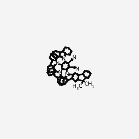 CC1(C)c2ccccc2-c2cc3c(cc21)c1ccccc1n3-c1c(C#N)c(C#N)c(-n2c3ccccc3c3ccccc32)c(-n2c3ccccc3c3ccccc32)c1-n1c2ccccc2c2ccccc21